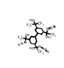 [N-]=[N+]=NC(O)(C1CC(C2CC(C(O)(N=[N+]=[N-])C(F)(F)F)CC(C(O)(C(F)(F)F)C(F)(F)F)C2)CC(C(O)(N=[N+]=[N-])C(F)(F)F)C1)C(F)(F)F